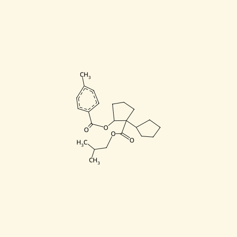 Cc1ccc(C(=O)OC2CCCC2(C(=O)OCC(C)C)C2CCCC2)cc1